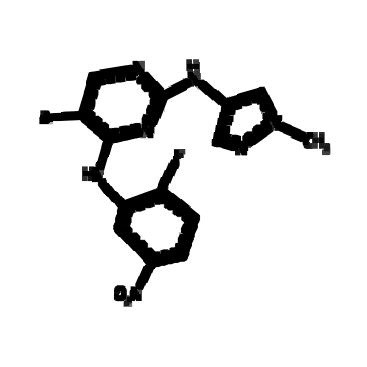 Cn1cc(Nc2ncc(Br)c(Nc3cc([N+](=O)[O-])ccc3F)n2)cn1